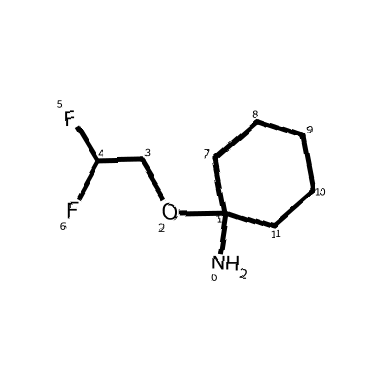 NC1(OCC(F)F)CCCCC1